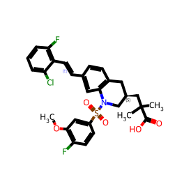 COc1cc(S(=O)(=O)N2C[C@H](CC(C)(C)C(=O)O)Cc3ccc(/C=C/c4c(F)cccc4Cl)cc32)ccc1F